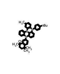 CCCCc1ccc(N2c3ccc(C)cc3B3c4ccccc4N(c4ccc5c(c4)C(C)(C)CCC5(C)C)c4cccc2c43)cc1